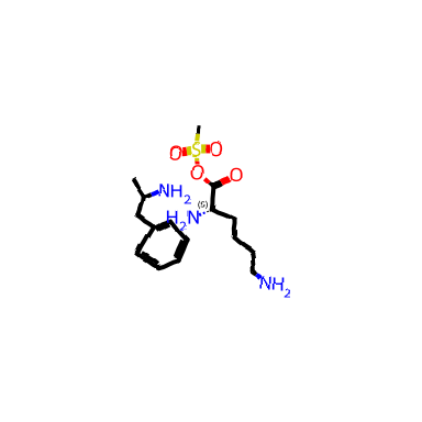 CC(N)Cc1ccccc1.CS(=O)(=O)OC(=O)[C@@H](N)CCCCN